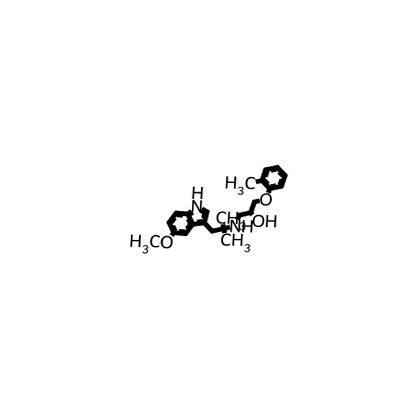 COc1ccc2[nH]cc(CC(C)(C)NCC(O)COc3ccccc3C)c2c1